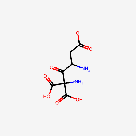 NC(CC(=O)O)C(=O)C(N)(C(=O)O)C(=O)O